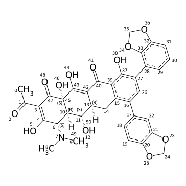 CC(=O)C1=C(O)[C@@H](N(C)C)[C@@H]2[C@@H](O)[C@@H]3Cc4c(-c5ccc6c(c5)OCO6)cc(-c5cccc6c5OCO6)c(O)c4C(=O)C3=C(O)[C@]2(O)C1=O